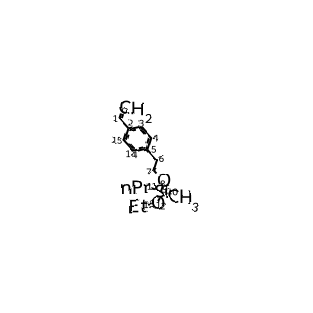 C=Cc1ccc(CCO[Si](C)(CCC)OCC)cc1